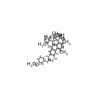 COc1cccc(CN2CCc3cc(-c4c(C)nc(C)c(C(OC(C)(C)C)C(=O)O)c4N4CCC(C)(C)CC4)ccc3C2)c1